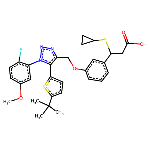 COc1ccc(F)c(-n2nnc(COc3cccc(C(CC(=O)O)SC4CC4)c3)c2-c2ccc(C(C)(C)C)s2)c1